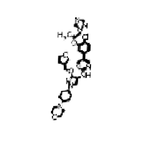 C[C@@H](Cn1cncn1)Oc1cc(-c2cnc(Nc3cn([C@H]4CC[C@H](N5CCOCC5)CC4)nc3OCC3CCOC3)nc2)ccc1Cl